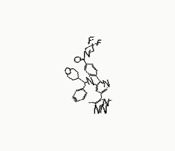 Cc1nnn(C)c1-c1cnc2c3ccc(C(=O)N4CC(F)(F)C4)cc3n(C(c3ccccc3)C3CCOCC3)c2c1